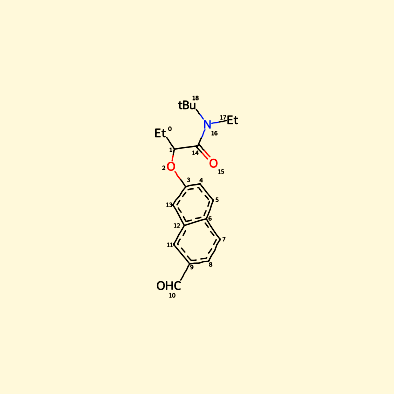 CCC(Oc1ccc2ccc(C=O)cc2c1)C(=O)N(CC)C(C)(C)C